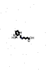 O=C(O)CCC/C=C\C[C@@H]1[C@H](CS)[C@@H]2CC[C@H]1O2